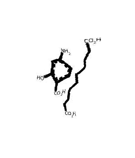 Nc1ccc(C(=O)O)c(O)c1.O=C(O)CCCCCCCCC(=O)O